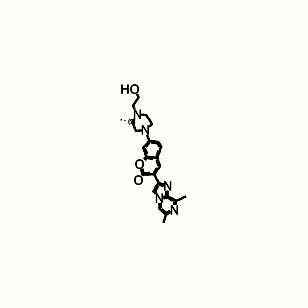 Cc1cn2cc(-c3cc4ccc(N5CCN(CCO)[C@@H](C)C5)cc4oc3=O)nc2c(C)n1